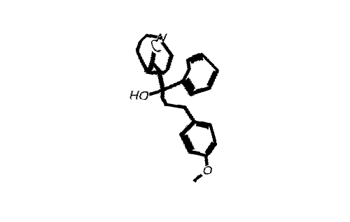 COc1ccc(CCC(O)(c2ccccc2)C2CN3CCC2CC3)cc1